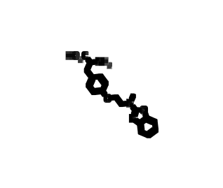 CN(CCOc1ccc(CC(N)C(=O)O)cc1)c1nc2ccccc2o1